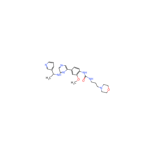 COc1cc(-c2cncc(NC(C)c3cccnc3)n2)ccc1NC(=O)NCCCN1CCOCC1